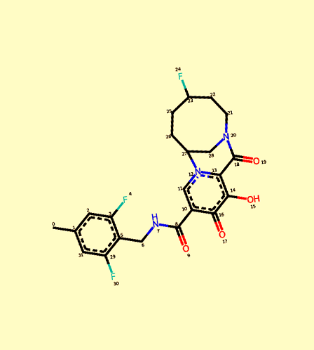 Cc1cc(F)c(CNC(=O)c2cn3c(c(O)c2=O)C(=O)N2CCC(F)CCC3C2)c(F)c1